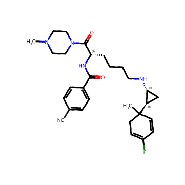 CN1CCN(C(=O)[C@H](CCCCN[C@@H]2C[C@H]2C2(C)C=CC(F)=CC2)NC(=O)c2ccc(C#N)cc2)CC1